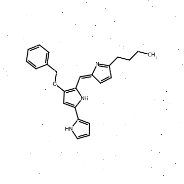 CCCCC1=NC(=Cc2[nH]c(-c3ccc[nH]3)cc2OCc2ccccc2)C=C1